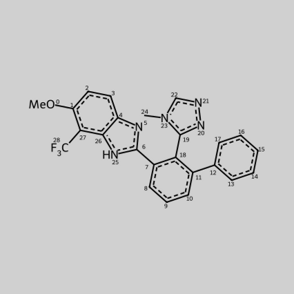 COc1ccc2nc(-c3cccc(-c4ccccc4)c3-c3nncn3C)[nH]c2c1C(F)(F)F